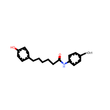 CCCCCCCCc1ccc(NC(=O)CCCCCc2ccc(O)cc2)cc1